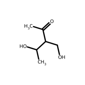 CC(=O)C(CO)C(C)O